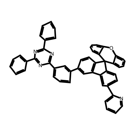 c1ccc(-c2nc(-c3ccccc3)nc(-c3cccc(-c4ccc5c(c4)-c4cc(-c6ccccn6)ccc4C54c5ccccc5Oc5ccccc54)c3)n2)cc1